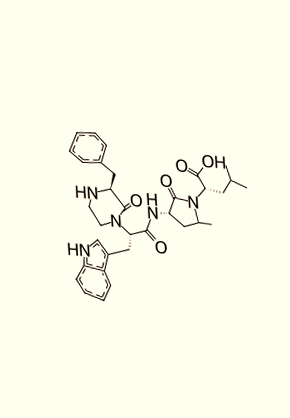 CC(C)C[C@@H](C(=O)O)N1C(=O)[C@@H](NC(=O)[C@H](Cc2c[nH]c3ccccc23)N2CCN[C@@H](Cc3ccccc3)C2=O)CC1C